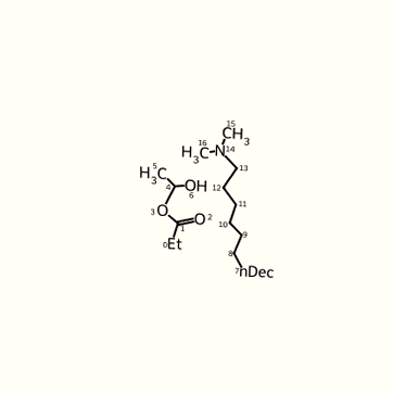 CCC(=O)OC(C)O.CCCCCCCCCCCCCCCCN(C)C